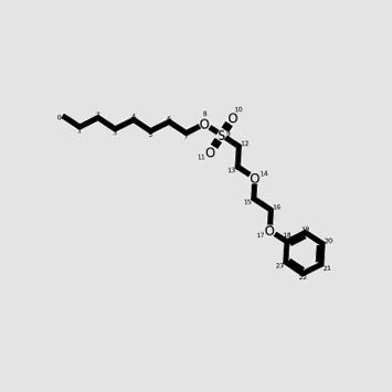 CCCCCCCCOS(=O)(=O)CCOCCOc1ccccc1